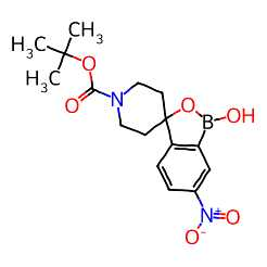 CC(C)(C)OC(=O)N1CCC2(CC1)OB(O)c1cc([N+](=O)[O-])ccc12